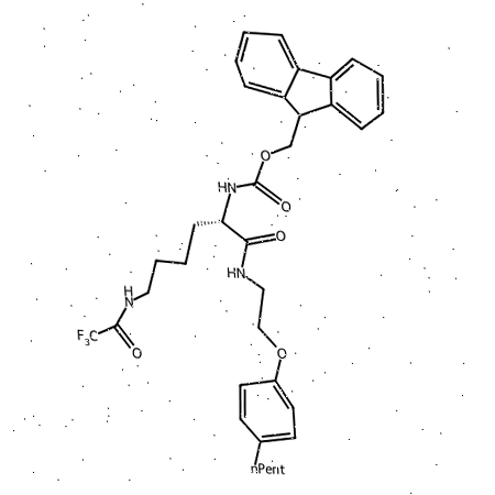 CCCCCc1ccc(OCCNC(=O)[C@H](CCCCNC(=O)C(F)(F)F)NC(=O)OCC2c3ccccc3-c3ccccc32)cc1